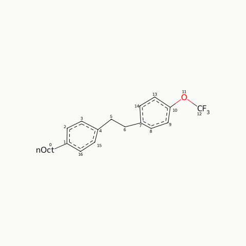 CCCCCCCCc1ccc(CCc2ccc(OC(F)(F)F)cc2)cc1